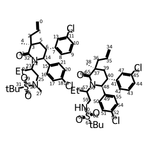 C=CC[C@@]1(C)C[C@H](c2cccc(Cl)c2)[C@@H](c2ccc(Cl)cc2)N(C(CC)CN(C)S(=O)(=O)C(C)(C)C)C1=O.C=CC[C@@]1(C)C[C@H](c2cccc(Cl)c2)[C@@H](c2ccc(Cl)cc2)N(C(CC)CNS(=O)(=O)C(C)(C)C)C1=O